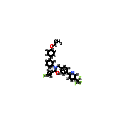 CCOc1ccc(-c2cccc(N(CC34CCC(c5ccc(C(F)(F)F)cn5)(CC3)CC4)C(=O)C34CC(F)(C3)C4)c2)cc1